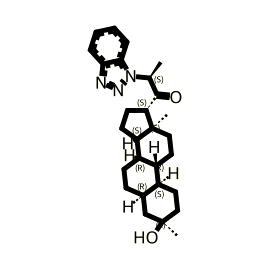 C[C@@H](C(=O)[C@H]1CC[C@H]2[C@@H]3CC[C@@H]4C[C@](C)(O)CC[C@@H]4[C@H]3CC[C@]12C)n1nnc2ccccc21